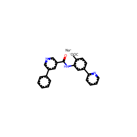 O=C(Nc1cc(-c2ccccn2)ccc1C(=O)[O-])c1cncc(-c2ccccc2)c1.[Na+]